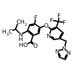 CC(C)Nc1cc(F)c(Oc2ncc(Cn3nccn3)cc2C(F)(F)F)cc1C(=O)O